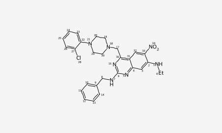 CCNc1cc2nc(NCc3ccccc3)nc(CN3CCN(c4ccccc4Cl)CC3)c2cc1[N+](=O)[O-]